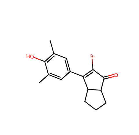 Cc1cc(C2=C(Br)C(=O)C3CCCC23)cc(C)c1O